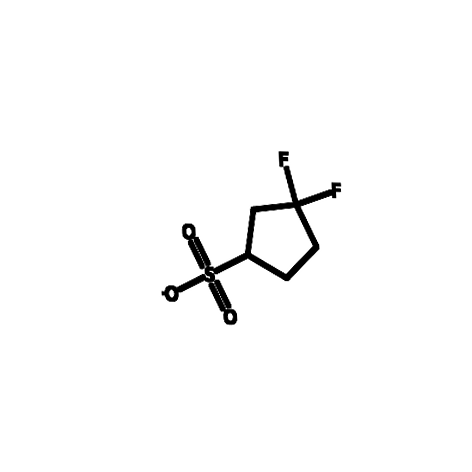 [O]S(=O)(=O)C1CCC(F)(F)C1